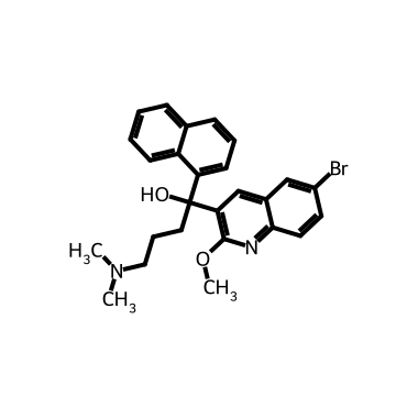 COc1nc2ccc(Br)cc2cc1C(O)(CCCN(C)C)c1cccc2ccccc12